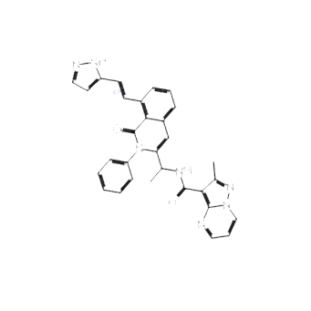 Cc1nn2cccnc2c1C(=O)NC(C)c1cc2cccc(/C=C/c3ccn[nH]3)c2c(=O)n1-c1ccccc1